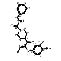 O=C(/C(=N/I)Nc1ccc(F)c(Br)c1)C1CCN(C(=O)NCc2ccccc2)CC1